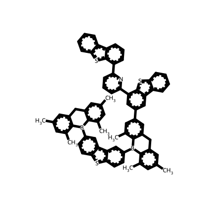 Cc1cc(C)c2c(c1)Cc1cc(C)cc(C)c1B2c1ccc2sc3ccc(B4c5c(C)cc(C)cc5Cc5cc(-c6cc(-c7cccc(-c8cccc9c8sc8ccccc89)n7)c7sc8ccccc8c7c6)cc(C)c54)cc3c2c1